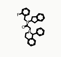 O=C(CN1CCc2ccccc2C1c1ccccc1)N(Cc1ccccc1F)C1Cc2ccccc2C1